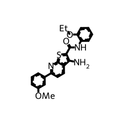 CCOc1ccccc1NC(=O)c1sc2nc(-c3cccc(OC)c3)ccc2c1N